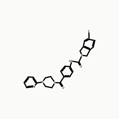 O=C(Nc1ccc(C(=O)N2CCN(c3ccccn3)CC2)cc1)N1Cc2ccc(F)cc2C1